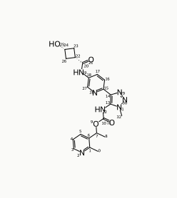 Cc1ncccc1C(C)OC(=O)Nc1c(-c2ccc(NC(=O)[C@H]3C[C@@H](O)C3)cn2)nnn1C